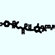 CCOC(=O)C(C)(C)Oc1c(C)cc(CNCC(=O)NCCc2nc(-c3ccc(Cl)cc3)oc2C)cc1C